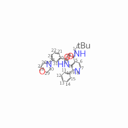 CC(C)(C)CNC(=O)c1ccnc(-c2ccccc2)c1NC(=O)c1cccc(N2CCOCC2)c1